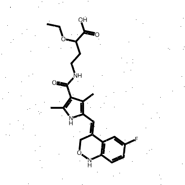 CCOC(CCNC(=O)c1c(C)[nH]c(/C=C2\CONc3ccc(F)cc32)c1C)C(=O)O